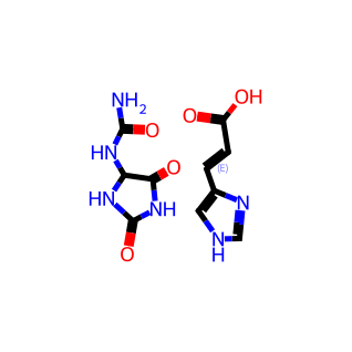 NC(=O)NC1NC(=O)NC1=O.O=C(O)/C=C/c1c[nH]cn1